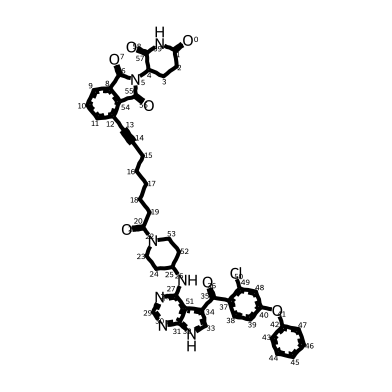 O=C1CCC(N2C(=O)c3cccc(C#CCCCCCC(=O)N4CCC(Nc5ncnc6[nH]cc(C(=O)c7ccc(Oc8ccccc8)cc7Cl)c56)CC4)c3C2=O)C(=O)N1